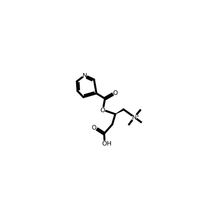 C[N+](C)(C)C[C@@H](CC(=O)O)OC(=O)c1cccnc1